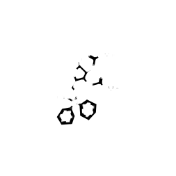 CC[C@@H]1O[C@H](CO[Si](c2ccccc2)(c2ccccc2)C(C)(C)C)C(OC(=S)SC)[C@@H]1OC(=S)SC